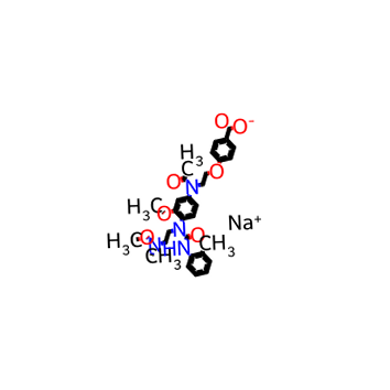 COc1cc(N(CCOc2ccc(C(=O)[O-])cc2)C(C)=O)ccc1N(CCN(C)OC)C(=O)Nc1ccccc1C.[Na+]